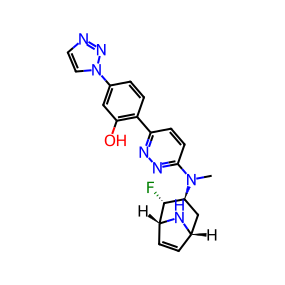 CN(c1ccc(-c2ccc(-n3ccnn3)cc2O)nn1)[C@H]1C[C@@H]2C=C[C@@H](N2)[C@@H]1F